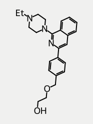 CCN1CCN(c2nc(-c3ccc(COCCO)cc3)cc3ccccc23)CC1